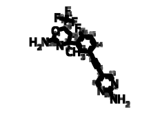 C[C@@]1(c2cc(C#Cc3cnc(N)nc3)ccc2F)C[C@@H](C(F)(F)F)OC(N)=N1